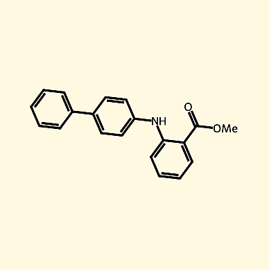 COC(=O)c1ccccc1Nc1ccc(-c2ccccc2)cc1